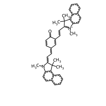 CN1/C(=C/C=C2\C=CC(=O)C(/C=C/C3=[N+](C)c4ccc5ccccc5c4C3(C)C)=C2)C(C)(C)c2c1ccc1ccccc21